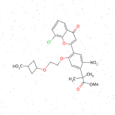 COC(=O)C(C)(C)c1cc(OCCOC2CC(C(=O)O)C2)c(-c2cc(=O)c3cccc(Cl)c3o2)cc1[N+](=O)[O-]